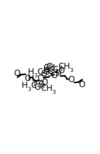 COC(C)(C[Si](C=O)(OC)O[Si](C)(CCCOCC1CO1)OC)O[Si](C)(CCCOCC1CO1)OC